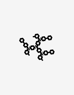 Cc1cccc(N(c2ccc(-c3ccccc3)cc2)c2ccc(N(c3ccc(N(c4ccc(-c5ccccc5)cc4)c4cccc(C)c4)cc3)c3ccc(N(c4ccc(-c5ccccc5)cc4)c4cccc(C)c4)cc3)cc2)c1